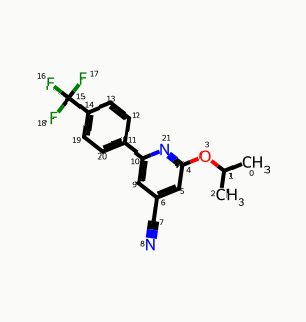 CC(C)Oc1cc(C#N)cc(-c2ccc(C(F)(F)F)cc2)n1